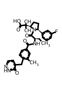 CC[C@@H](NC(=O)c1ccc(Cc2ccn[nH]c2=O)c(C)c1)C(=O)N1[C@H](c2cccc(F)c2)CC[C@@H]1C(C)(C)C(=O)O